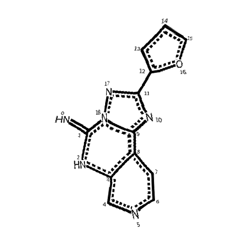 N=c1[nH]c2cnccc2c2nc(-c3ccco3)nn12